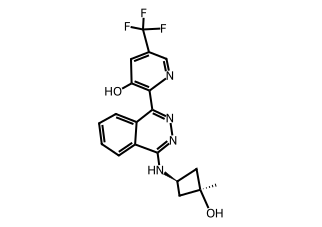 C[C@]1(O)C[C@@H](Nc2nnc(-c3ncc(C(F)(F)F)cc3O)c3ccccc23)C1